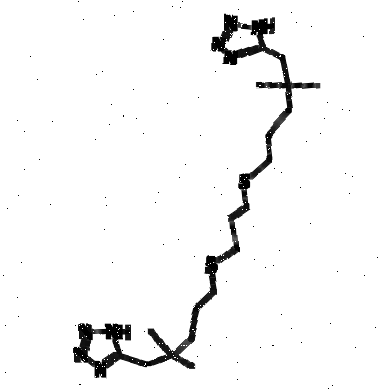 CC(C)(CCCSCCCSCCCC(C)(C)Cc1nnn[nH]1)Cc1nnn[nH]1